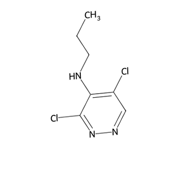 CCCNc1c(Cl)cnnc1Cl